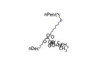 CCCCC/C=C\C/C=C\CCCCCCCC(=O)O[C@H](COCCCCCCCCCCCCCC)COP(=O)([O-])OCC[N+](C)(C)C